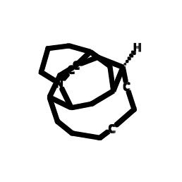 C1CCC[C@@H]2CCCC(CC1)C1CC2CC2CCCN1C2